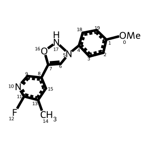 COc1ccc(N2C=C(c3cnc(F)c(C)c3)ON2)cc1